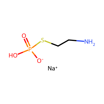 NCCSP(=O)([O-])O.[Na+]